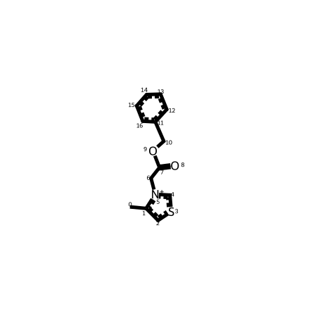 Cc1csc[n+]1CC(=O)OCc1ccccc1